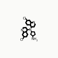 NC1CCC(N(c2ccnc3cc(Cl)ccc23)c2ccnc3cc(Cl)ccc23)C1